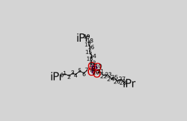 CC(C)CCCCCCCOP(=O)(OCCCCCCCC(C)C)OCCCCCCCC(C)C